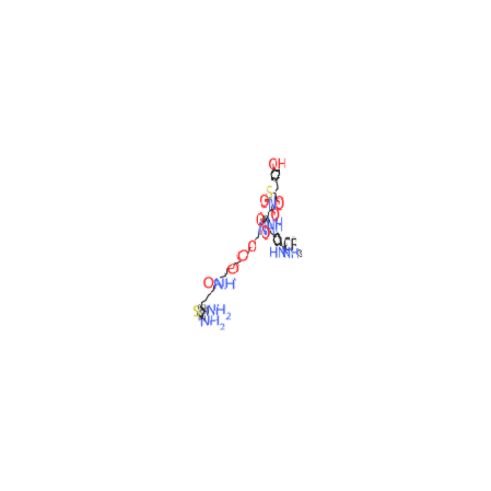 N[C@@H]1[C@H](CCCCC(=O)NCCCOCCOCCOCCCNC(=O)[C@@H](CC(=O)N2C(=O)SC(Cc3ccc(O)cc3)C2=O)NC(=O)c2ccc(C3(C(F)(F)F)NN3)cc2)SC[C@@H]1N